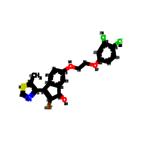 Cc1scnc1C1=C(Br)C(=O)c2cc(OCCOc3ccc(Cl)c(Cl)c3)ccc21